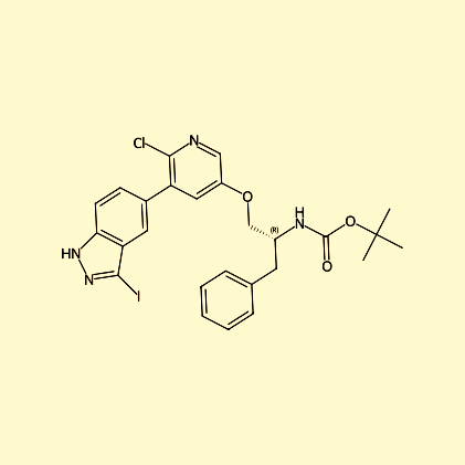 CC(C)(C)OC(=O)N[C@@H](COc1cnc(Cl)c(-c2ccc3[nH]nc(I)c3c2)c1)Cc1ccccc1